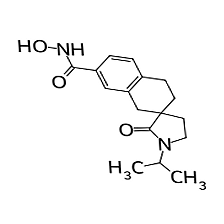 CC(C)N1CCC2(CCc3ccc(C(=O)NO)cc3C2)C1=O